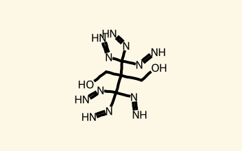 N=NC(N=N)(N=N)C(CO)(CO)C(N=N)(N=N)N=N